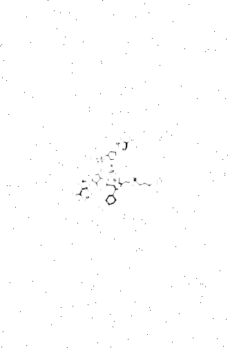 C=CCCC(=O)NCc1nc(C(=O)OC2C(O)[C@H](n3cnc4c(N)ncnc43)O[C@@H]2COP(=O)(O)OC2C[C@H](n3ccc(N)nc3=O)O[C@@H]2COP(=O)(O)O)c(-c2ccc(C#N)cc2)o1